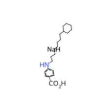 O=C(O)c1ccc(NCCCCCCCCC2CCCCC2)cc1.[NaH]